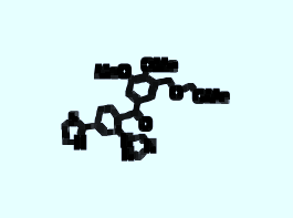 COCOCc1cc(C(=O)c2ccc(-c3nccs3)cc2-n2cncn2)cc(OC)c1OC